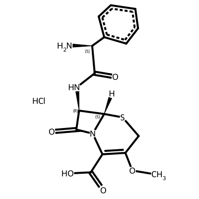 COC1=C(C(=O)O)N2C(=O)[C@@H](NC(=O)[C@@H](N)c3ccccc3)[C@@H]2SC1.Cl